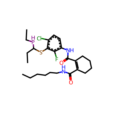 CCCCCCNC(=O)C1=C(C(=O)Nc2ccc(Cl)c(SC(CC)PCC)c2F)CCCC1